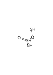 N=[SH](=O)OS